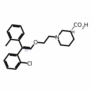 Cc1ccccc1/C(=C\OCCN1CCC[C@@H](C(=O)O)C1)c1ccccc1Cl